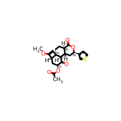 COC1=C[C@@]23CC[C@H]4C(=O)O[C@@H](c5ccsc5)C[C@@H]4[C@H]2C(=O)[C@@H](OC(C)=O)C[C@@H]13